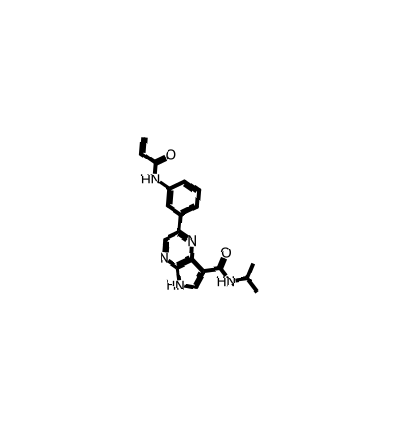 C=CC(=O)Nc1cccc(-c2cnc3[nH]cc(C(=O)NC(C)C)c3n2)c1